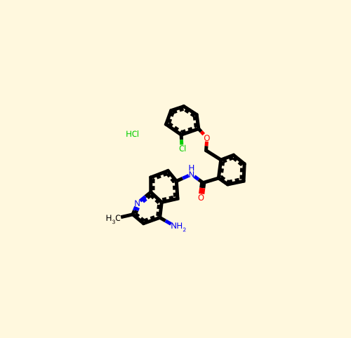 Cc1cc(N)c2cc(NC(=O)c3ccccc3COc3ccccc3Cl)ccc2n1.Cl